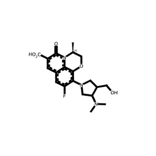 C[C@H]1COc2c(N3CC(CO)C(N(C)C)C3)c(F)cc3cc(C(=O)O)c(=O)n1c23